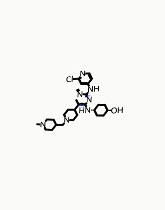 C=N/C(=N\C(N[C@H]1CC[C@H](O)CC1)=C(/C)C1CCN(CC2CCN(C)CC2)CC1)Nc1ccnc(Cl)c1